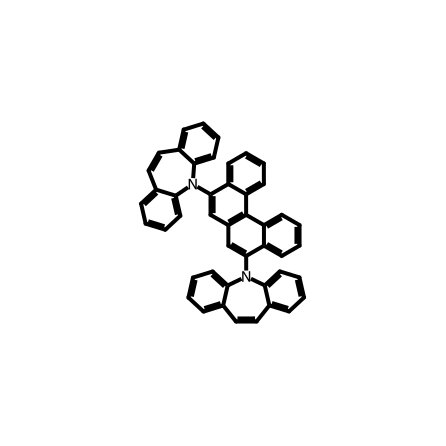 C1=Cc2ccccc2N(c2cc3cc(N4c5ccccc5C=Cc5ccccc54)c4ccccc4c3c3ccccc23)c2ccccc21